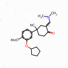 COc1ccc(C2(C#N)CCC(=O)/C(=C/N(C)C)C2)cc1OC1CCCC1